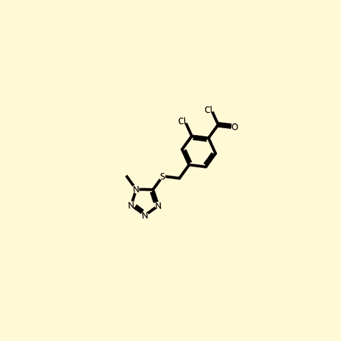 Cn1nnnc1SCc1ccc(C(=O)Cl)c(Cl)c1